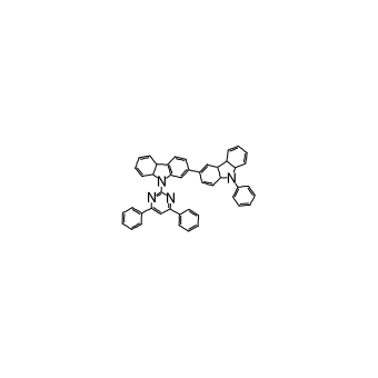 C1=CC2c3ccc(C4=CC5C6C=CC=CC6N(c6ccccc6)C5C=C4)cc3N(c3nc(-c4ccccc4)cc(-c4ccccc4)n3)C2C=C1